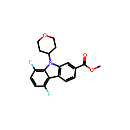 COC(=O)c1ccc2c3c(F)ccc(F)c3n(C3CCOCC3)c2c1